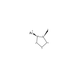 CC(=O)[C@@H]1CCC[C@@H]1C